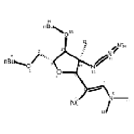 CCCCOC[C@H]1OC(C(C#N)=CN(C)C)[C@](C)(N=[N+]=[N-])[C@@H]1OCCCC